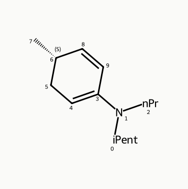 CCCC(C)N(CCC)C1=CC[C@H](C)C=C1